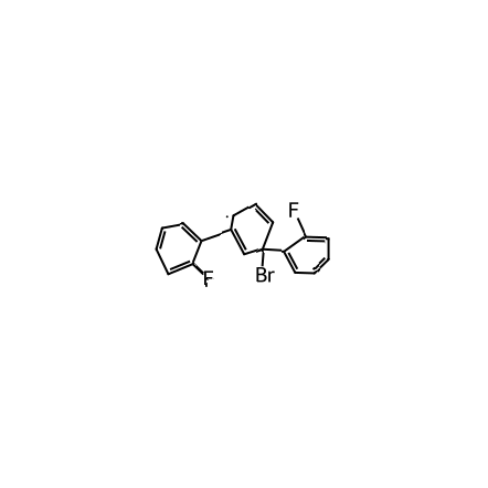 Fc1ccccc1C1=CC(Br)(c2ccccc2F)C=C[CH]1